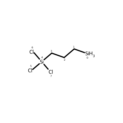 [SiH3]CCC[Si](Cl)(Cl)Cl